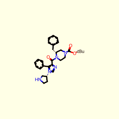 CC(C)(C)OC(=O)N1CCN(C(=O)c2ncn([C@@H]3CCNC3)c2-c2ccccc2)[C@H](Cc2ccccc2)C1